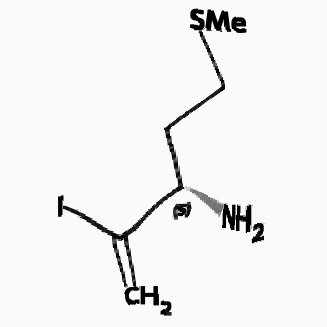 C=C(I)[C@@H](N)CCSC